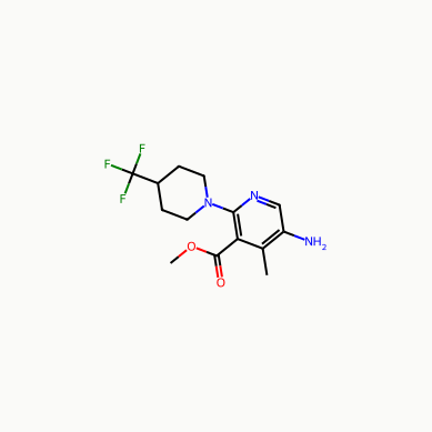 COC(=O)c1c(N2CCC(C(F)(F)F)CC2)ncc(N)c1C